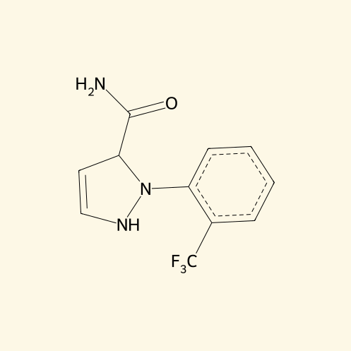 NC(=O)C1C=CNN1c1ccccc1C(F)(F)F